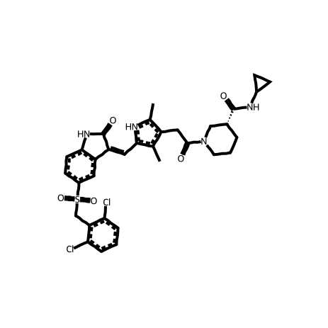 Cc1[nH]c(/C=C2\C(=O)Nc3ccc(S(=O)(=O)Cc4c(Cl)cccc4Cl)cc32)c(C)c1CC(=O)N1CCC[C@@H](C(=O)NC2CC2)C1